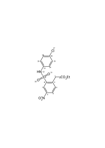 CCOC(=O)Cc1ccc([N+](=O)[O-])cc1S(=O)(=O)Nc1ccc(Cl)cc1